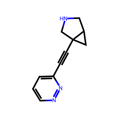 C(#CC12CNCC1C2)c1cccnn1